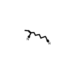 CC=C(C#N)CCCCCC#N